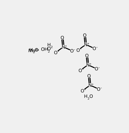 O.O.O.O.O=[N+]([O-])[O-].O=[N+]([O-])[O-].O=[N+]([O-])[O-].O=[N+]([O-])[O-].[Mn+4]